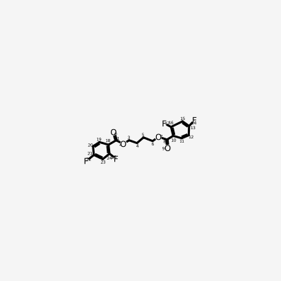 O=C(OCCCCOC(=O)c1ccc(F)cc1F)c1ccc(F)cc1F